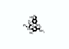 CC(C)C[C@@H](Nc1nc(Nc2ccc3[nH]ncc3c2)c(C(N)=O)cc1C#N)C(N)=O